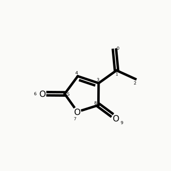 C=C(C)C1=CC(=O)OC1=O